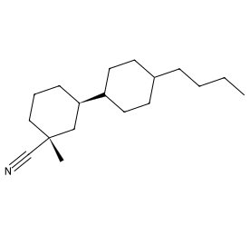 CCCCC1CCC([C@@H]2CCC[C@@](C)(C#N)C2)CC1